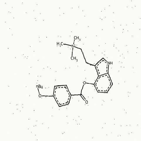 CCCCOc1ccc(C(=O)Oc2cccc3[nH]cc(CC[N+](C)(C)C)c23)cc1